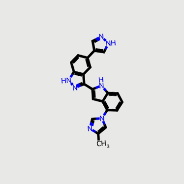 Cc1cn(-c2cccc3[nH]c(-c4n[nH]c5ccc(-c6cn[nH]c6)cc45)cc23)cn1